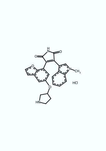 Cl.Cn1cc(C2=C(c3cc(OC4CCNC4)cc4ccoc34)C(=O)NC2=O)c2ccccc21